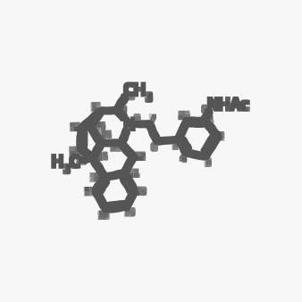 CC(=O)Nc1cccc(CCN2C(C)C3C=C[C@@]4(C)c5ccccc5CC2C4C3)c1